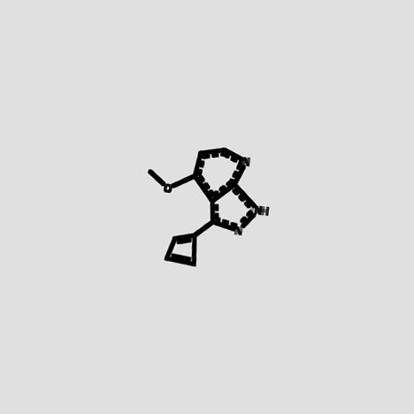 COc1ccnc2[nH]nc(C3=CC=C3)c12